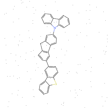 c1ccc2c(c1)sc1ccc(-c3ccc4c(c3)-c3ccc(-n5c6ccccc6c6ccccc65)cc3C4)cc12